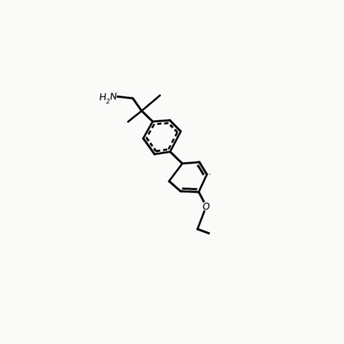 CCOC1=CCC(c2ccc(C(C)(C)CN)cc2)C=[C]1